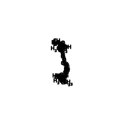 Cc1ncsc1-c1ccc(CNC(=O)[C@@H]2C[C@@H](O)CN2C(=O)[C@@H](NC(=O)CCOCCOCCOCCC(=O)N2CCN(Cc3cnc(N4CC=C(c5cc(NC(=O)c6c[nH]c(=O)cc6C(F)(F)F)c(N6C[C@@H](C)N(C)[C@@H](C)C6)cc5F)CC4)nc3)CC2)C(C)(C)C)cc1